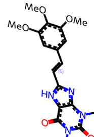 COc1cc(/C=C/c2nc3c([nH]2)c(=O)n(C)c(=O)n3C)cc(OC)c1OC